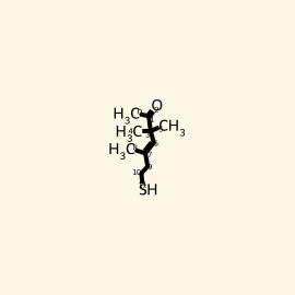 CC(=O)C(C)(C)/C=C(\C)CCS